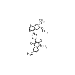 COc1cc2ncnc(N3CCC(n4c(=O)c5cc(C)ccc5n(C)c4=O)CC3)c2cc1OC